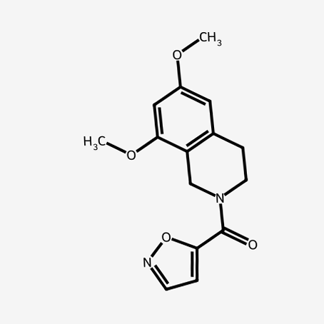 COc1cc2c(c(OC)c1)CN(C(=O)c1ccno1)CC2